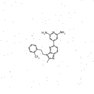 Cc1nc2ccc(-c3cc(N)nc(N)c3)nc2n1CCc1ccccc1C(F)(F)F